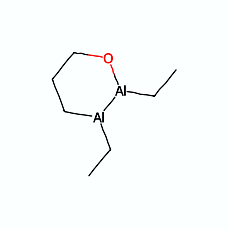 C[CH2][Al]1[CH2]CC[O][Al]1[CH2]C